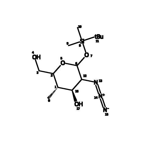 C[C@@H]1C(CO)OC(O[Si](C)(C)C(C)(C)C)C(N=[N+]=[N-])[C@H]1O